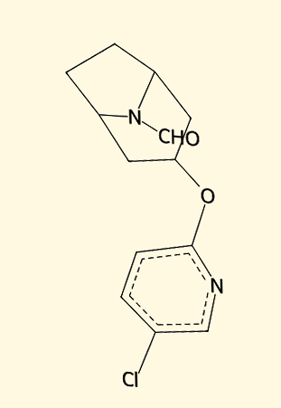 O=CN1C2CCC1CC(Oc1ccc(Cl)cn1)C2